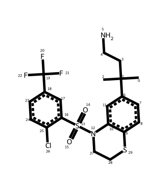 CC(C)(CCN)c1ccc2c(c1)N(S(=O)(=O)c1cc(C(F)(F)F)ccc1Cl)CCS2